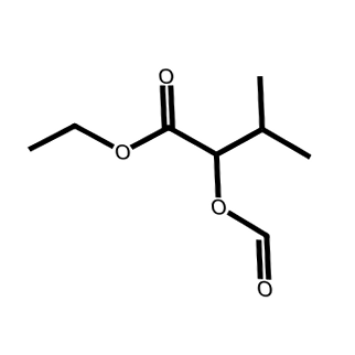 CCOC(=O)C(OC=O)C(C)C